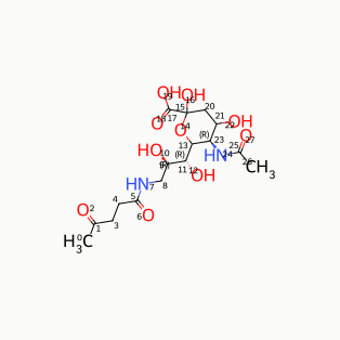 CC(=O)CCC(=O)NC[C@@H](O)[C@@H](O)C1OC(O)(C(=O)O)CC(O)[C@H]1NC(C)=O